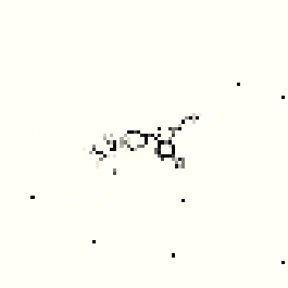 CC(C)CCNc1cc(Cl)ccc1CN1CCN(C(=O)OC(C(F)(F)F)C(F)(F)F)CC1